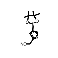 CC1(C)OB(c2csc(CC#N)c2)OC1(C)C